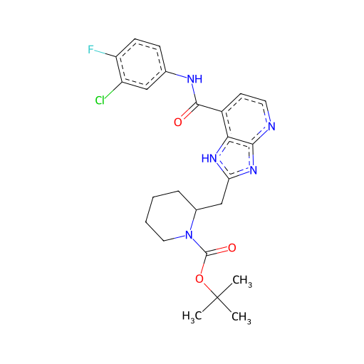 CC(C)(C)OC(=O)N1CCCCC1Cc1nc2nccc(C(=O)Nc3ccc(F)c(Cl)c3)c2[nH]1